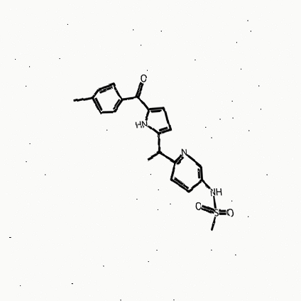 Cc1ccc(C(=O)c2ccc(C(C)c3ccc(NS(C)(=O)=O)cn3)[nH]2)cc1